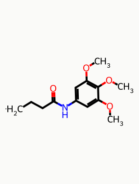 [CH2]CCC(=O)Nc1cc(OC)c(OC)c(OC)c1